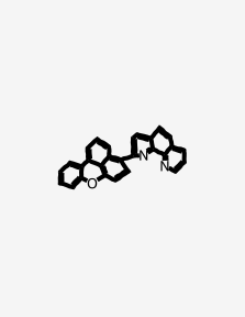 c1ccc2c(c1)Oc1ccc(-c3ccc4ccc5cccnc5c4n3)c3cccc-2c13